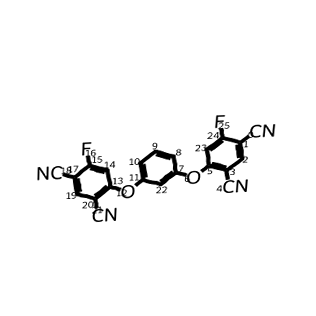 N#Cc1cc(C#N)c(Oc2cccc(Oc3cc(F)c(C#N)cc3C#N)c2)cc1F